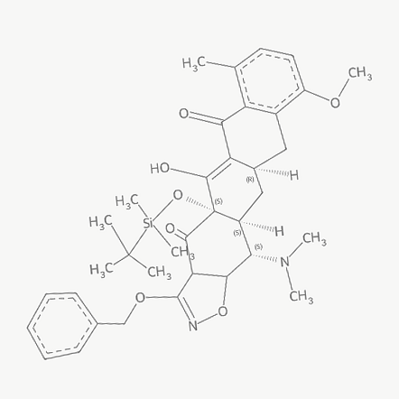 COc1ccc(C)c2c1C[C@H]1C[C@H]3[C@H](N(C)C)C4ON=C(OCc5ccccc5)C4C(=O)[C@@]3(O[Si](C)(C)C(C)(C)C)C(O)=C1C2=O